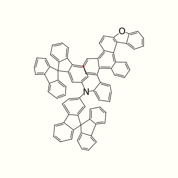 c1ccc(N(c2ccc3c(c2)C2(c4ccccc4-c4ccccc42)c2ccccc2-3)c2ccc3c(c2)C2(c4ccccc4-c4ccccc42)c2ccccc2-3)c(-c2cccc3c4ccc5oc6ccccc6c5c4c4ccccc4c23)c1